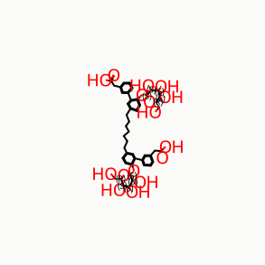 O=C(O)Cc1cccc(-c2cc(CCCCCCCc3ccc(O[C@@H]4O[C@H](CO)[C@@H](O)[C@H](O)[C@@H]4O)c(-c4cccc(CC(=O)O)c4)c3)ccc2O[C@@H]2O[C@H](CO)[C@@H](O)[C@H](O)[C@@H]2O)c1